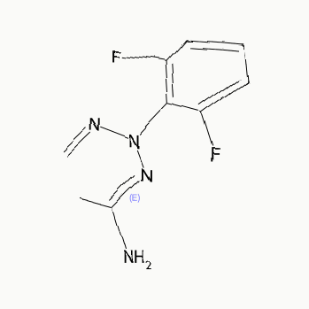 C=NN(/N=C(\C)N)c1c(F)cccc1F